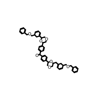 O=C(c1ccc(C2COCC(CC3=CC=CC(COCc4ccccc4)C3)O2)cc1)c1ccc(C2COCC(C3=CC=CC(COCc4ccccc4)C3)O2)cc1